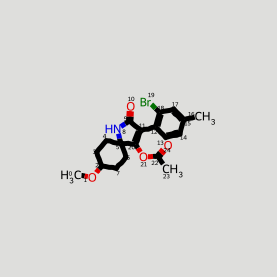 COC1CCC2(CC1)NC(=O)C(c1ccc(C)cc1Br)=C2OC(C)=O